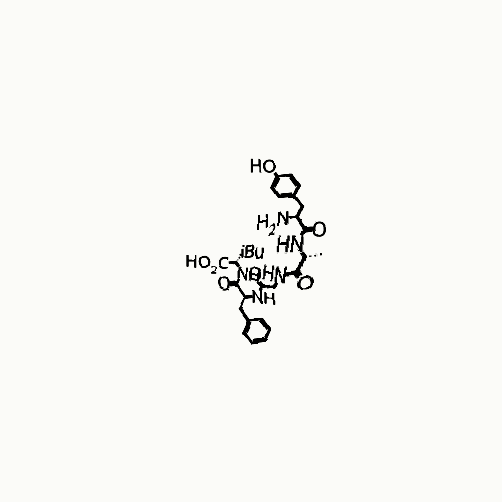 CCC(C)[C@H](NC(=O)[C@H](Cc1ccccc1)NC(=O)CNC(=O)[C@@H](C)NC(=O)[C@@H](N)Cc1ccc(O)cc1)C(=O)O